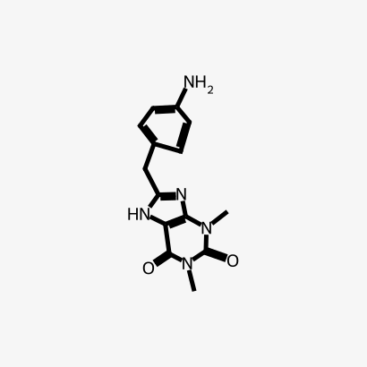 Cn1c(=O)c2[nH]c(Cc3ccc(N)cc3)nc2n(C)c1=O